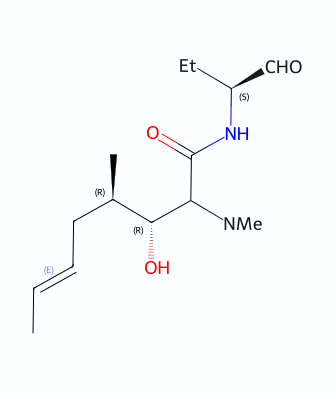 C/C=C/C[C@@H](C)[C@@H](O)C(NC)C(=O)N[C@H](C=O)CC